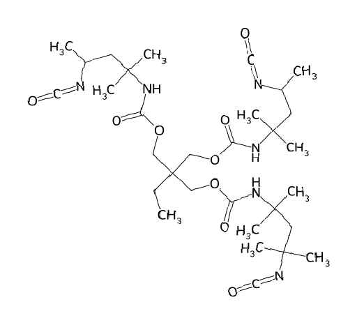 CCC(COC(=O)NC(C)(C)CC(C)N=C=O)(COC(=O)NC(C)(C)CC(C)N=C=O)COC(=O)NC(C)(C)CC(C)(C)N=C=O